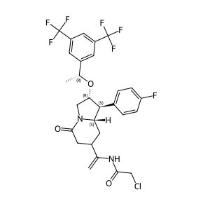 C=C(NC(=O)CCl)C1CC(=O)N2C[C@H](O[C@H](C)c3cc(C(F)(F)F)cc(C(F)(F)F)c3)[C@@H](c3ccc(F)cc3)[C@@H]2C1